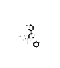 CC[C@@H](C)S(=O)(=O)Nc1cc(-c2ccc(=O)n(C)c2)nc(Oc2c(F)cccc2Cl)n1